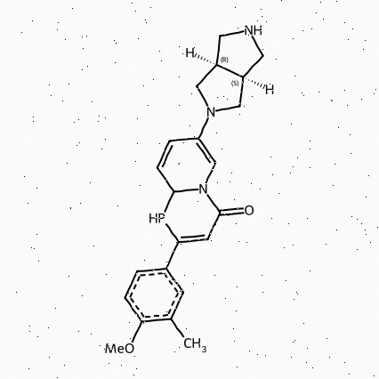 COc1ccc(C2=CC(=O)N3C=C(N4C[C@H]5CNC[C@H]5C4)C=CC3P2)cc1C